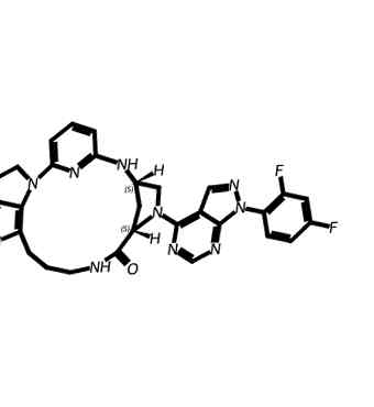 Cn1nc2c3c1CCCNC(=O)[C@@H]1C[C@@H](CN1c1ncnc4c1cnn4-c1ccc(F)cc1F)Nc1cccc(n1)N3CC2